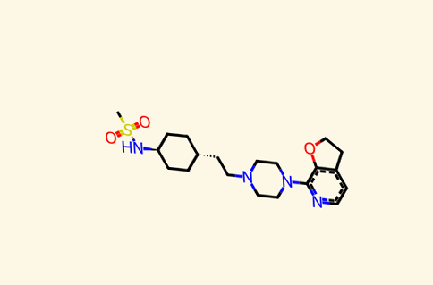 CS(=O)(=O)N[C@H]1CC[C@H](CCN2CCN(c3nccc4c3OCC4)CC2)CC1